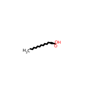 CCCCCCCCCCCCC#CC(=O)O